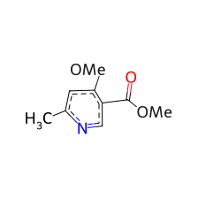 COC(=O)c1cnc(C)cc1OC